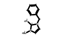 CCCCN1C=CN(Cc2ccccc2)C1CCC